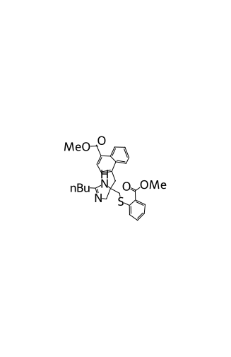 CCCCC1=NCC(CSc2ccccc2C(=O)OC)(Cc2ccc(C(=O)OC)c3ccccc23)N1